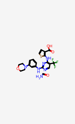 NC=O.O=C(O)c1ccsc1Nc1nc(Nc2cccc(N3CCOCC3)c2)ncc1C(F)(F)F